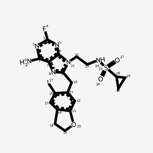 Nc1nc(F)nc2c1nc(Cc1cc3c(cc1I)CCO3)n2CCNS(=O)(=O)C1CC1